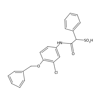 O=C(Nc1ccc(OCc2ccccc2)c(Cl)c1)C(c1ccccc1)S(=O)(=O)O